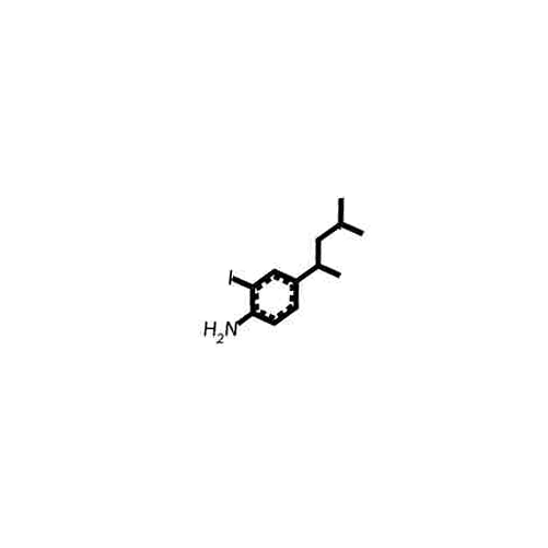 C[C](C)CC(C)c1ccc(N)c(I)c1